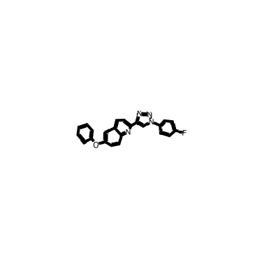 Fc1ccc(-n2cc(-c3ccc4cc(Oc5ccccc5)ccc4n3)nn2)cc1